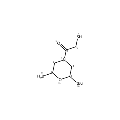 BC1CN(C(=O)CS)CC(C(C)(C)C)O1